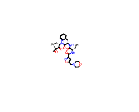 CC(C)C[C@H](NC(=O)c1cc(CN2CCOCC2)on1)C(=O)N[C@@H](Cc1ccccc1)C(=O)N[C@@H](CC(C)C)C(=O)[C@@]1(C)CO1